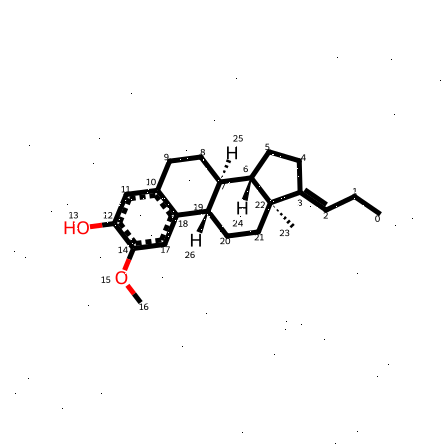 CCC=C1CC[C@H]2[C@@H]3CCc4cc(O)c(OC)cc4[C@H]3CC[C@]12C